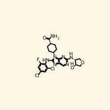 NC(=O)[C@H]1CC[C@@H](n2c(Nc3c(F)cc(Cl)cc3Cl)nc3cnc(N[C@@H]4COC[C@H]4O)nc32)CC1